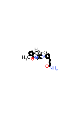 COc1ccc(CCCC(N)=O)cc1N1CC2CN(C(=O)c3c(C)cccc3C)CC2C1